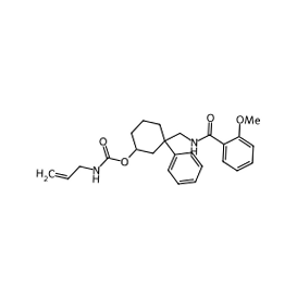 C=CCNC(=O)OC1CCCC(CNC(=O)c2ccccc2OC)(c2ccccc2)C1